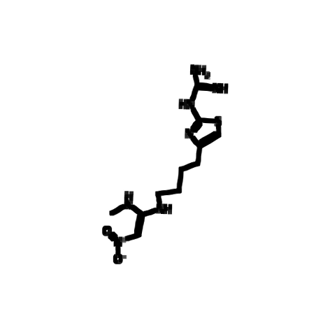 CNC(=C[N+](=O)[O-])NCCCCc1csc(NC(=N)N)n1